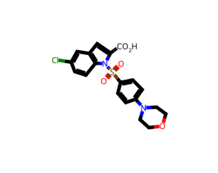 O=C(O)c1cc2cc(Cl)ccc2n1S(=O)(=O)c1ccc(N2CCOCC2)cc1